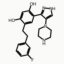 Oc1cc(O)c(-c2n[nH]cc2N2CCNCC2)cc1CCc1cccc(F)c1